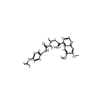 COc1cc2ncnc(C(=N)CC(C)N(C)C(=O)Nc3ccc(OC(C)C)cc3)c2cc1OC